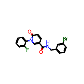 O=C(NCc1cccc(Br)c1)c1ccc(=O)n(-c2ccccc2F)c1